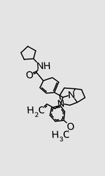 C=CCN1CCC2CCC(C1)N2C(C1=CCC(C(=O)NC2CCCC2)C=C1)c1cccc(OC)c1